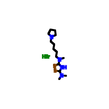 Br.CN(C)C1NC(N(C)CCCCCN2CCCC2)SS1